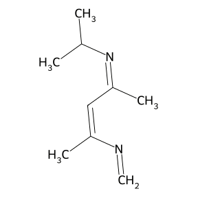 C=N/C(C)=C\C(C)=N/C(C)C